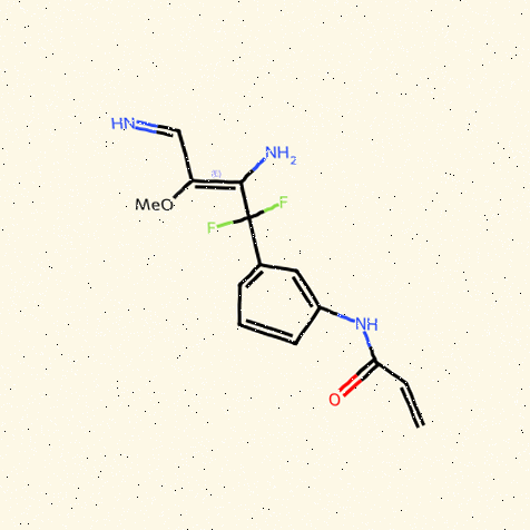 C=CC(=O)Nc1cccc(C(F)(F)/C(N)=C(/C=N)OC)c1